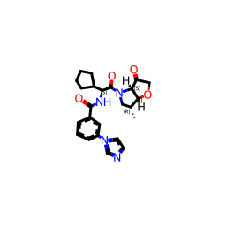 C[C@@H]1CN(C(=O)[C@@H](NC(=O)c2cccc(-n3ccnc3)c2)C2CCCC2)[C@@H]2C(=O)CO[C@H]12